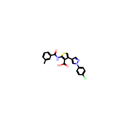 Cc1cccc(C(=O)Nc2scc(-c3cnn(-c4ccc(Cl)cc4)c3)c2C(=O)O)c1